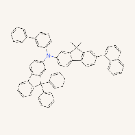 CC1(C)c2cc(-c3cccc4ccccc34)ccc2-c2ccc(N(c3cccc(-c4ccccc4)c3)c3ccc4c(c3)C(C3=CCCC=C3)(c3ccccc3)c3ccccc3-4)cc21